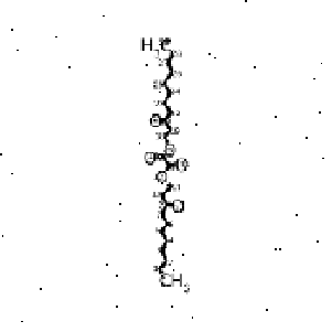 CCCCCCCCC(=O)CCOC(=O)C(=O)OCCC(=O)CCCCCCCC